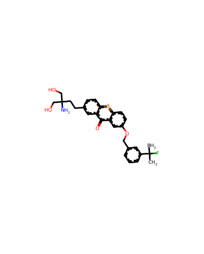 BC(C)(F)c1cccc(COc2ccc3sc4ccc(CCC(N)(CO)CO)cc4c(=O)c3c2)c1